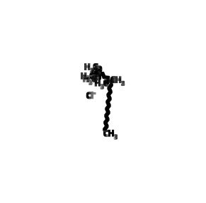 CCCCCCCCCCCCCCC[N+](C)(C)CCC[Si](OC)(OC)OC.[Cl-]